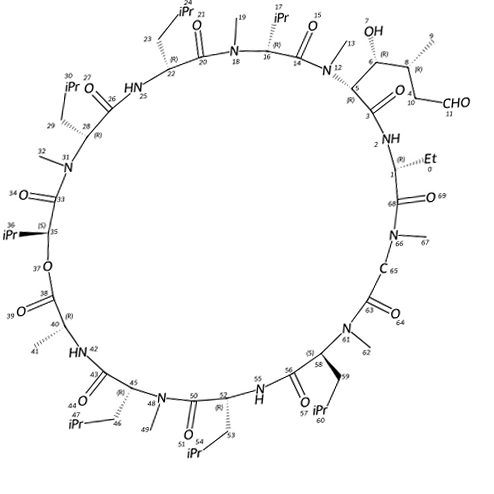 CC[C@H]1NC(=O)[C@@H]([C@H](O)[C@H](C)CC=O)N(C)C(=O)[C@@H](C(C)C)N(C)C(=O)[C@@H](CC(C)C)NC(=O)[C@@H](CC(C)C)N(C)C(=O)[C@H](C(C)C)OC(=O)[C@@H](C)NC(=O)[C@@H](CC(C)C)N(C)C(=O)[C@@H](CC(C)C)NC(=O)[C@H](CC(C)C)N(C)C(=O)CN(C)C1=O